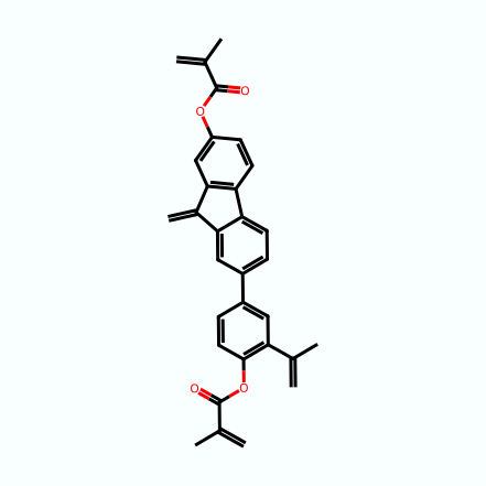 C=C(C)C(=O)Oc1ccc2c(c1)C(=C)c1cc(-c3ccc(OC(=O)C(=C)C)c(C(=C)C)c3)ccc1-2